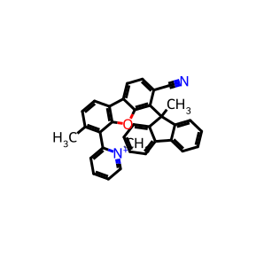 Cc1ccc2c(oc3c(C4(C)c5ccccc5-c5ccccc54)c(C#N)ccc32)c1-c1cccc[n+]1C